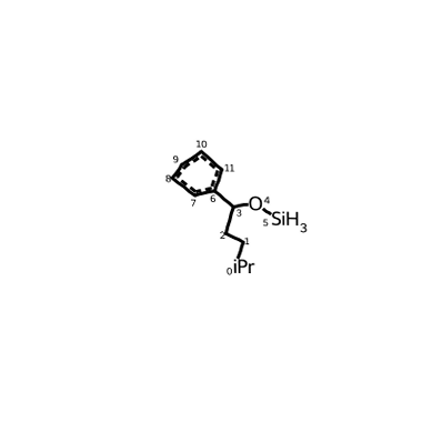 CC(C)CCC(O[SiH3])c1ccccc1